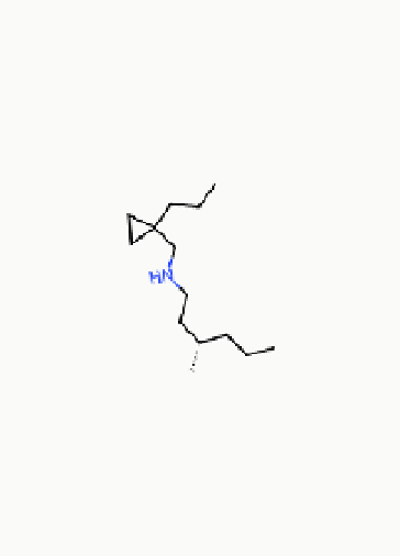 CCC[C@H](C)CCNCC1(CCC)CC1